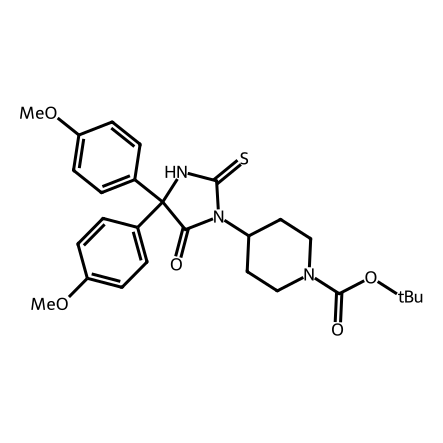 COc1ccc(C2(c3ccc(OC)cc3)NC(=S)N(C3CCN(C(=O)OC(C)(C)C)CC3)C2=O)cc1